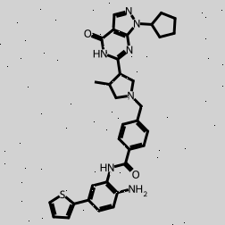 CC1CN(Cc2ccc(C(=O)Nc3cc(-c4cccs4)ccc3N)cc2)CC1c1nc2c(cnn2C2CCCC2)c(=O)[nH]1